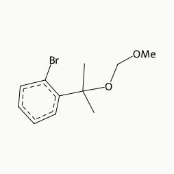 COCOC(C)(C)c1ccccc1Br